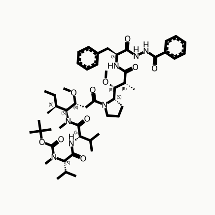 CC[C@H](C)[C@@H]([C@@H](CC(=O)N1CCC[C@H]1[C@H](OC)[C@@H](C)C(=O)N[C@@H](Cc1ccccc1)C(=O)NNC(=O)c1ccccc1)OC)N(C)C(=O)[C@@H](NC(=O)[C@H](C(C)C)N(C)C(=O)OC(C)(C)C)C(C)C